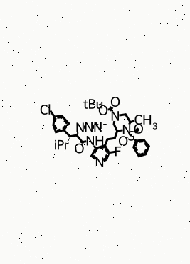 CC(C)[C@H](c1ccc(Cl)cc1)[C@@H](N=[N+]=[N-])C(=O)Nc1cncc(F)c1CCC1CN(C(=O)OC(C)(C)C)CC(C)N1S(=O)(=O)c1ccccc1